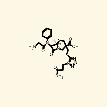 NCC(=O)N(C1=CCC=CC1)C1C(=O)N2CC(CSc3nnnn3CCC(N)=O)(C(=O)O)CS[C@H]12